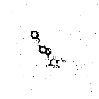 COC(=O)[C@H](Cc1c[nH]c2cc(OCc3ccccc3)ccc12)NC(=O)OC(C)(C)C